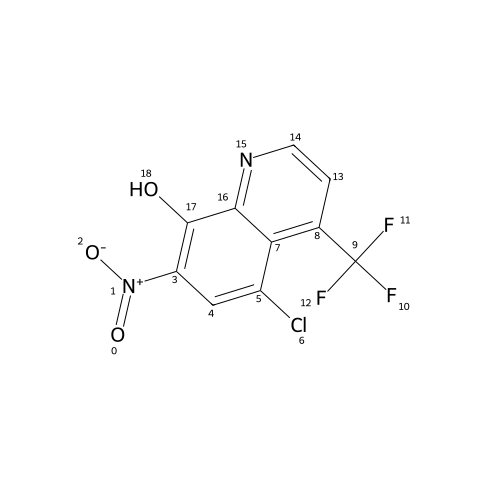 O=[N+]([O-])c1cc(Cl)c2c(C(F)(F)F)ccnc2c1O